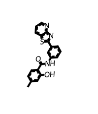 Cc1ccc(C(=O)Nc2cccc(-c3nc4ncccc4s3)c2)c(O)c1